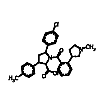 Cc1ccc(C2CC(c3ccc(Cl)cc3)N(C(=O)c3ccccc3C3CCN(C)C3)C2C(=O)O)cc1